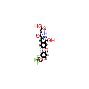 O=C(O)CNC(=O)c1cc2ccc(Oc3ccc(OC(F)(F)F)cc3)cc2c(O)n1